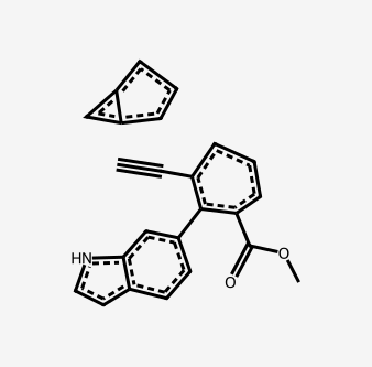 C#Cc1cccc(C(=O)OC)c1-c1ccc2cc[nH]c2c1.c1cc2cc-2c1